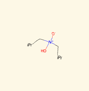 CC(C)C[N+]([O-])(O)CC(C)C